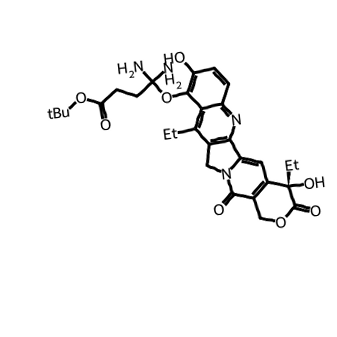 CCc1c2c(nc3ccc(O)c(OC(N)(N)CCC(=O)OC(C)(C)C)c13)-c1cc3c(c(=O)n1C2)COC(=O)[C@]3(O)CC